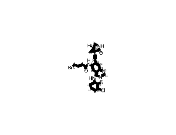 O=C(/C=C/CBr)Nc1cc2c(Nc3cccc(Cl)c3F)ncnc2cc1C#C[C@@]12C[C@@H]1CNC2=O